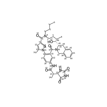 CCCCN(CCCC)C(=O)c1cc(C)n(-c2ccc(NC(=O)C(C)C3NC(=O)NC3=O)cc2C(=O)N2Cc3ccccc3C[C@H]2CO)n1